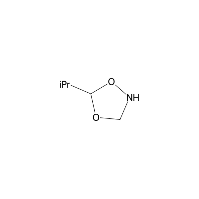 CC(C)C1OCNO1